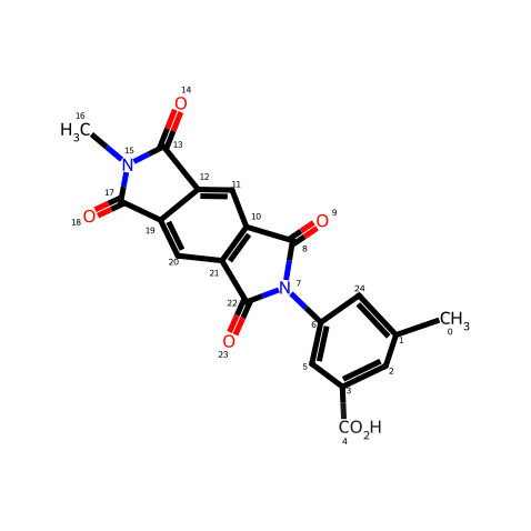 Cc1cc(C(=O)O)cc(-n2c(=O)c3cc4c(=O)n(C)c(=O)c4cc3c2=O)c1